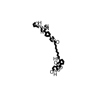 O=C1CCC(N2C(=O)c3cccc(NCCCCCCCCC(=O)N4CCN(c5ccc(-c6ncc(NCc7ccco7)n7cnnc67)cc5)CC4)c3C2=O)C(=O)N1